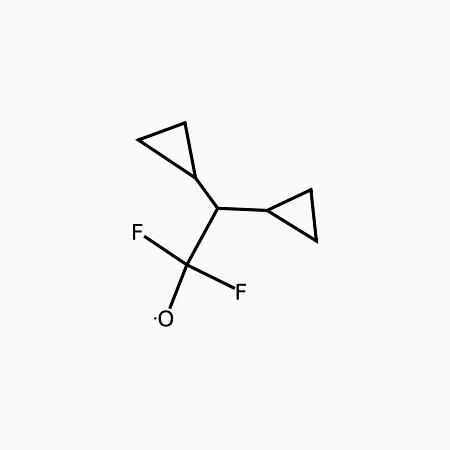 [O]C(F)(F)C(C1CC1)C1CC1